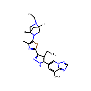 COc1cc(-c2[nH]nc(-c3nc(C)c(N4C[C@@H]5C[C@H]4CN5CC(C)C)s3)c2CC(F)(F)F)cn2ncnc12